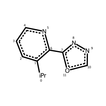 CC(C)c1cccnc1-c1nnco1